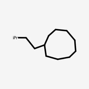 CC(C)CC[C]1CCCCCCCC1